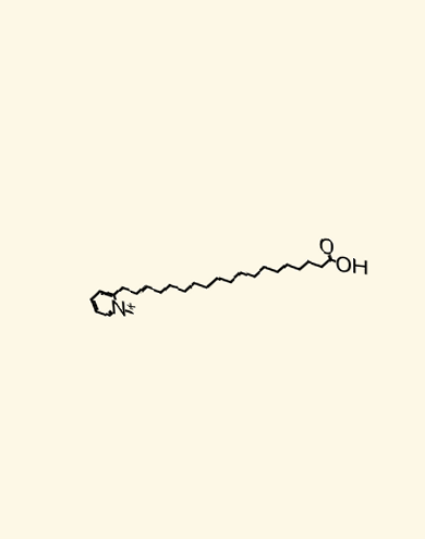 C[n+]1ccccc1CCCCCCCCCCCCCCCCCCC(=O)O